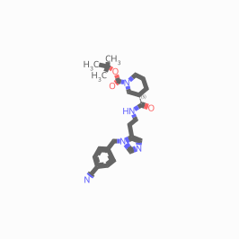 CC(C)(C)OC(=O)N1CCC[C@H](C(=O)NCCc2cncn2Cc2ccc(C#N)cc2)C1